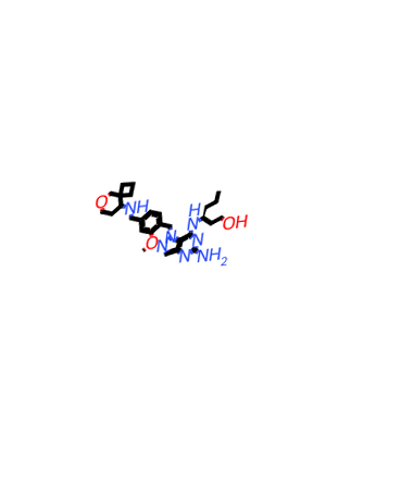 CCC[C@@H](CCO)Nc1nc(N)nc2cnn(Cc3ccc(CNC4CCOCC45CCC5)cc3OC)c12